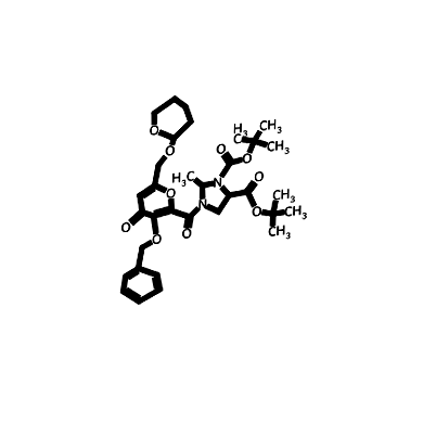 CC1N(C(=O)c2oc(COC3CCCCO3)cc(=O)c2OCc2ccccc2)CC(C(=O)OC(C)(C)C)N1C(=O)OC(C)(C)C